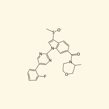 CC1COCCN1C(=O)c1ccc2c([S+](C)[O-])cn(-c3ncc(-c4ccccc4F)cn3)c2c1